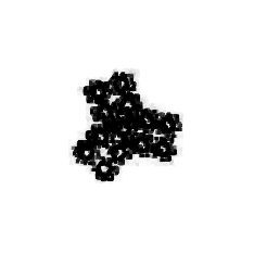 c1ccc(-c2ccc(N(c3ccc(-c4ccccc4)cc3)c3cc(N(c4ccc(-c5ccccc5)cc4)c4ccc(-c5ccccc5)cc4)cc(N(c4ccc(-c5ccccc5)cc4)c4ccc(-c5ccccc5)cc4)c3)cc2)cc1